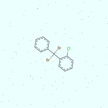 Clc1ccccc1C(Br)(Br)c1ccccc1